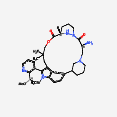 CCn1c(-c2cccnc2[C@H](C)OC)c2c3cc(ccc31)C1CCCN(C1)C[C@H](N)C(=O)N1CCC[C@H](N1)C(=O)OCC(C)(C)C2